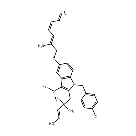 C=C/C=C\C=C(/N)COc1ccc2c(c1)c(SC(C)(C)C)c(CC(C)(C)/C=N/O)n2Cc1ccc(Cl)cc1